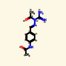 CC(=O)Nc1ccc(C=NN(C(=N)N)C(C)=O)cc1